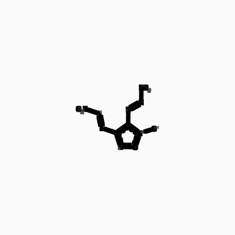 O=[N+]([O-])N=Nc1no[n+]([O-])c1N=N[N+](=O)[O-]